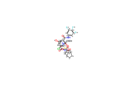 COC(=O)N1CC(=O)C[C@H]1C(=O)NC[C@]1(O)C2CCC1C[C@@H](S(=O)(=O)c1cc(C(=O)Nc3cc(F)c(F)c(F)c3)ccc1Cl)C2